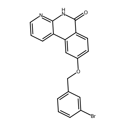 O=c1[nH]c2ncccc2c2cc(OCc3cccc(Br)c3)ccc12